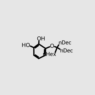 CCCCCCCCCCC(CCCCCC)(CCCCCCCCCC)Oc1cccc(O)c1O